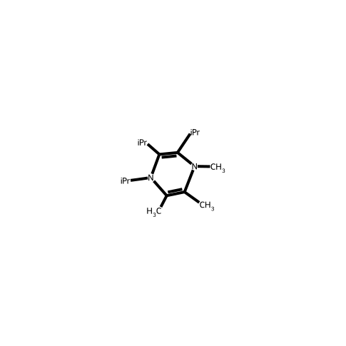 CC1=C(C)N(C(C)C)C(C(C)C)=C(C(C)C)N1C